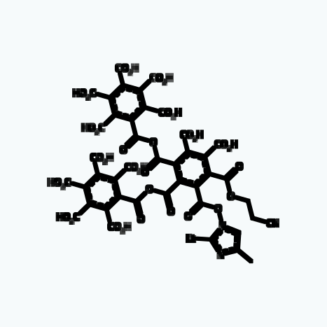 CCc1nc(C)cn1OC(=O)c1c(C(=O)OCCC#N)c(C(=O)O)c(C(=O)O)c(C(=O)OC(=O)c2c(C(=O)O)c(C(=O)O)c(C(=O)O)c(C(=O)O)c2C(=O)O)c1C(=O)OC(=O)c1c(C(=O)O)c(C(=O)O)c(C(=O)O)c(C(=O)O)c1C(=O)O